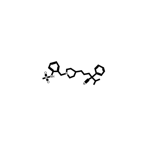 CC(C)C(C#N)(CCCC1CCN(Cc2ccccc2NS(C)(=O)=O)CC1)c1ccccc1